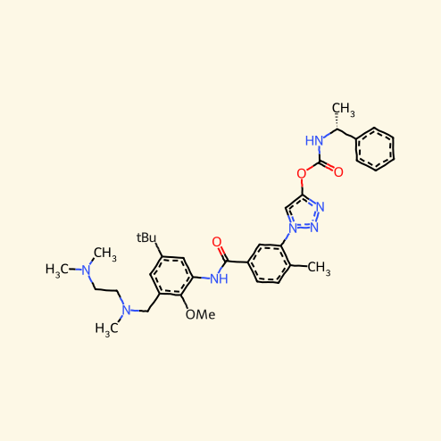 COc1c(CN(C)CCN(C)C)cc(C(C)(C)C)cc1NC(=O)c1ccc(C)c(-n2cc(OC(=O)N[C@H](C)c3ccccc3)nn2)c1